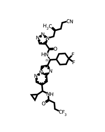 C=C(CCC#N)Cn1nncc1C(=O)N[C@H](c1cn2ncc(C(NC(=O)CCC(F)(F)F)C3CC3)cc2n1)C1CCC(F)(F)CC1